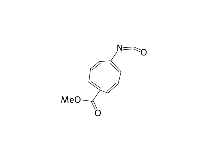 COC(=O)C1=C/C=C\C(N=C=O)=C/C=C\1